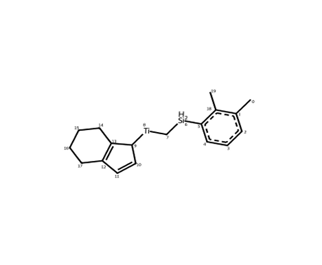 Cc1cccc([SiH2][CH2][Ti][CH]2C=CC3=C2CCCC3)c1C